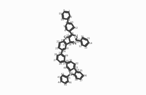 c1ccc(-c2ccc(-c3nc(-c4ccccc4)nc4c3sc3ccc(-c5cccc(-c6ccc7c8ccccc8n(-c8ccccc8)c7c6)c5)cc34)cc2)cc1